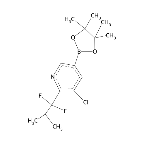 CC(C)C(F)(F)c1ncc(B2OC(C)(C)C(C)(C)O2)cc1Cl